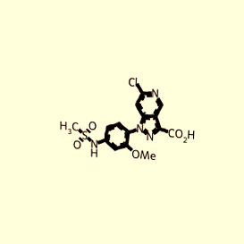 COc1cc(NS(C)(=O)=O)ccc1-n1nc(C(=O)O)c2cnc(Cl)cc21